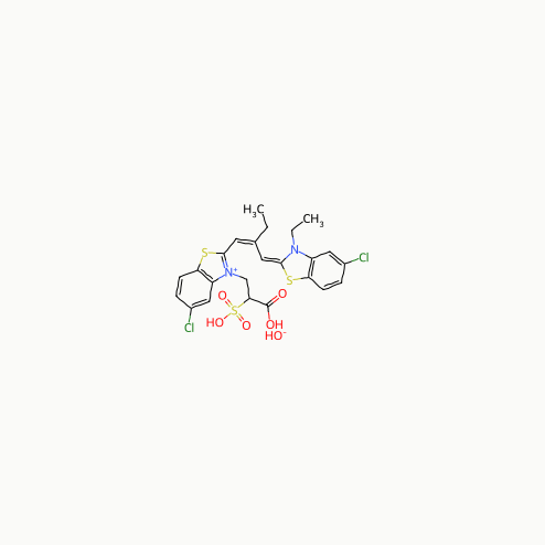 CCC(=Cc1sc2ccc(Cl)cc2[n+]1CC(C(=O)O)S(=O)(=O)O)C=C1Sc2ccc(Cl)cc2N1CC.[OH-]